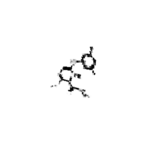 COC1=CC=C(Nc2cc(F)cc(F)c2)[N+](=O)C1C(=O)NC(C)(C)C